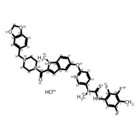 Cc1c(F)cc(NC(=S)N(C)c2ccc(Oc3ccc4c(c3)cc(C(=O)N3CCN(Cc5ccc6c(c5)OCO6)CC3)n4C)nc2)c(F)c1F.Cl